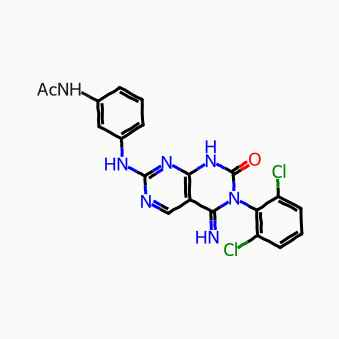 CC(=O)Nc1cccc(Nc2ncc3c(=N)n(-c4c(Cl)cccc4Cl)c(=O)[nH]c3n2)c1